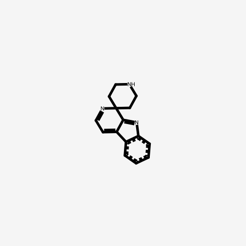 C1=NC2(CCNCC2)C2=Nc3ccccc3C2=C1